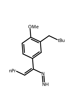 CCC/C=C(/N=N)c1ccc(OC)c(CC(C)(C)C)c1